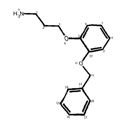 NCCCOc1ccccc1OCc1ccccc1